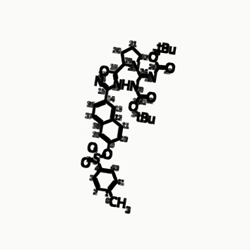 Cc1ccc(S(=O)(=O)Oc2ccc3cc(-c4noc(C5CCCN5C(=NC(=O)OC(C)(C)C)NC(=O)OC(C)(C)C)n4)ccc3c2)cc1